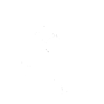 Cc1c(C(=O)c2ccc(Cl)cc2)c2ccc(OC(F)(F)F)cc2n1Cc1cccc(CC(C(=O)O)c2ccccc2)c1